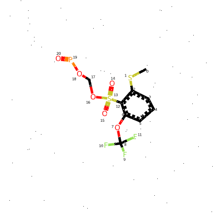 CSc1cccc(OC(F)(F)F)c1S(=O)(=O)OCOP=O